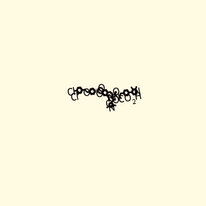 Cc1nc(C)c(C(=O)N2Cc3cc4c(cc3C[C@H]2C(=O)NC(Cc2ccc(-c3ccnc(C)c3C)cc2)C(=O)O)OC[C@H](c2ccc(OCc3ccc(Cl)c(Cl)c3)cc2)O4)o1